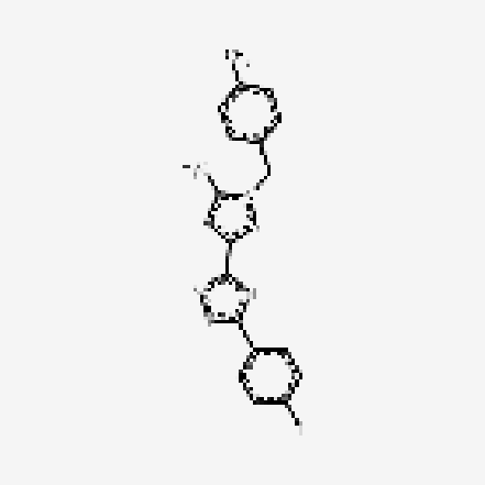 Cc1ccc(Cn2nc(-c3nc(-c4ccc(I)cc4)no3)cc2C)cc1